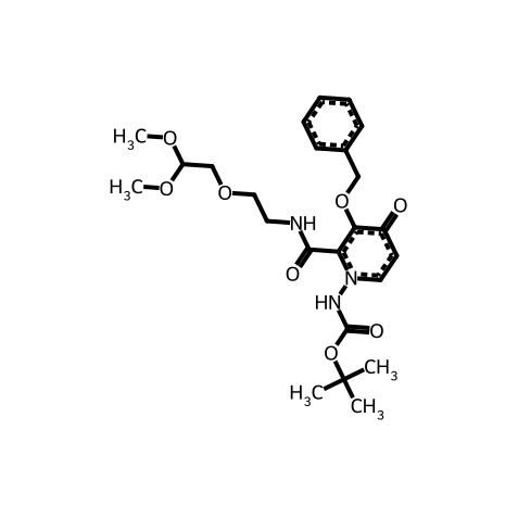 COC(COCCNC(=O)c1c(OCc2ccccc2)c(=O)ccn1NC(=O)OC(C)(C)C)OC